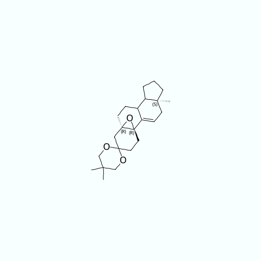 CC1(C)COC2(CC[C@]34O[C@]3(CCC3C4=CC[C@]4(C)CCCC34)C2)OC1